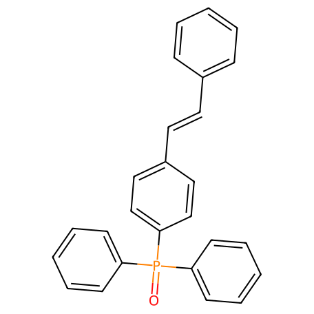 O=P(c1ccccc1)(c1ccccc1)c1ccc(C=Cc2ccccc2)cc1